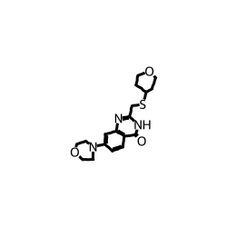 O=c1[nH]c(CSC2CCOCC2)nc2cc(N3CCOCC3)ccc12